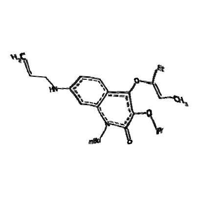 C=CCNc1ccc2c(OC(=CC)CC)c(OC(C)C)c(=O)n(CCCC)c2c1